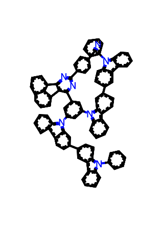 N#Cc1ccc(-c2nc(-c3cc(-n4c5ccccc5c5ccc(-c6ccc7c(c6)c6ccccc6n7-c6ccccc6)cc54)cc(-n4c5ccccc5c5ccc(-c6ccc7c(c6)c6ccccc6n7-c6ccccc6)cc54)c3)c3c(n2)-c2cccc4cccc-3c24)cc1